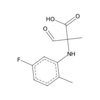 Cc1ccc(F)cc1NC(C)(C=O)C(=O)O